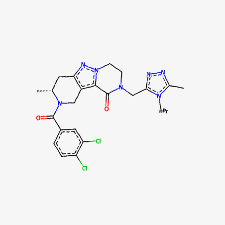 CCCn1c(C)nnc1CN1CCn2nc3c(c2C1=O)CN(C(=O)c1ccc(Cl)c(Cl)c1)[C@H](C)C3